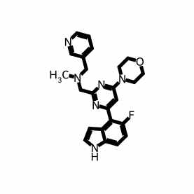 CN(Cc1cccnc1)Cc1nc(-c2c(F)ccc3[nH]ccc23)cc(N2CCOCC2)n1